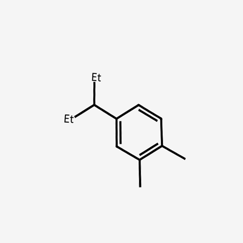 CCC(CC)c1ccc(C)c(C)c1